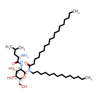 CCCCCCCCCCCCCCCCCC(=O)N(CCCCCCCCCCCCCC)[C@@H]1O[C@H](CO)[C@@H](O)[C@H](O)[C@H]1NC(=O)[C@@H](N)CC(C)C